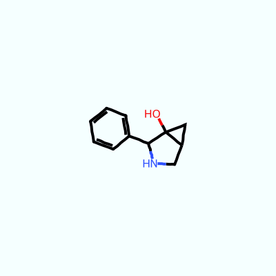 OC12CC1CNC2c1ccccc1